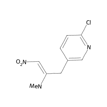 CNC(=C[N+](=O)[O-])Cc1ccc(Cl)nc1